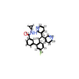 O=C(NC1CC1)c1cccc(-c2cc(F)ccc2CC(c2cccnc2)c2cccnc2)c1